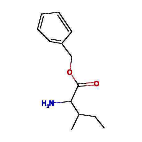 CCC(C)C(N)C(=O)OCc1ccccc1